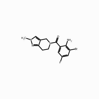 Cn1cc2c(n1)CCN(C(=O)c1cc(F)cc(Br)c1N)C2